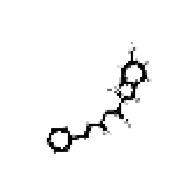 O=C(C=Cc1ccccc1)CC(=O)c1cc2ccc(O)cc2o1